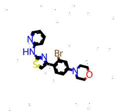 Brc1cc(N2CCOCC2)ccc1-c1csc(Nc2ccccn2)n1